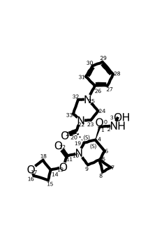 O=C(NO)[C@H]1CC2(CC2)CN(C(=O)OC2CCOC2)[C@@H]1C(=O)N1CCN(c2ccccc2)CC1